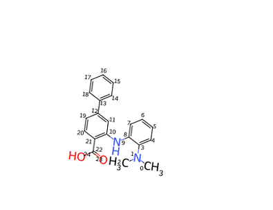 CN(C)c1ccccc1Nc1cc(-c2ccccc2)ccc1C(=O)O